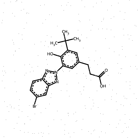 CC(C)(C)c1cc(CCC(=O)O)cc(-n2nc3ccc(Br)cc3n2)c1O